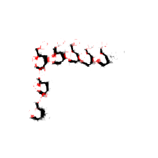 [Al+3].[C+4].[O-]CC1C=CC=CO1.[O-]CC1C=CC=CO1.[O-]CC1C=CC=CO1.[O-]CC1C=CC=CO1.[O-]CC1C=CC=CO1.[O-]CC1C=CC=CO1.[O-]CC1C=CC=CO1